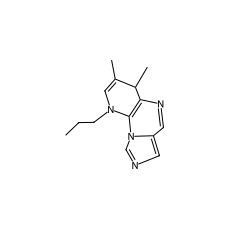 CCCN1C=C(C)C(C)c2ncc3cncn3c21